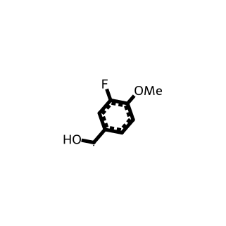 COc1ccc([CH]O)cc1F